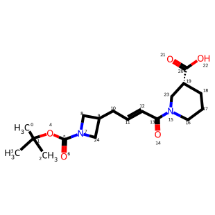 CC(C)(C)OC(=O)N1CC(CC=CC(=O)N2CCC[C@@H](C(=O)O)C2)C1